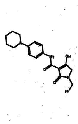 CC(C)CN1CC(O)=C(C(=O)Nc2ccc(N3CCCCC3)cc2)C1=O